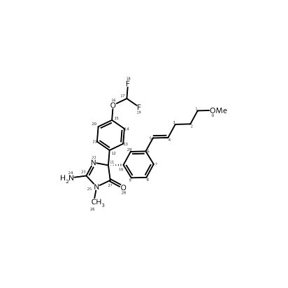 COCCCC=Cc1cccc([C@@]2(c3ccc(OC(F)F)cc3)N=C(N)N(C)C2=O)c1